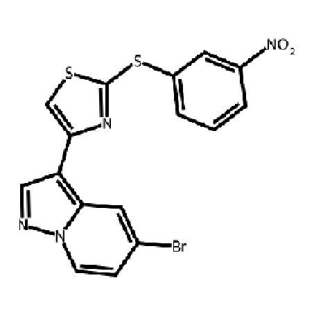 O=[N+]([O-])c1cccc(Sc2nc(-c3cnn4ccc(Br)cc34)cs2)c1